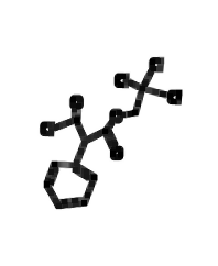 O=C(Cl)C(C(=O)OCC(Cl)(Cl)Cl)c1ccccc1